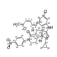 C=C(Cl)/C=C\C=C(/F)[C@H]1[C@@H]2C(=O)N(c3ccc([N+](=O)[O-])cc3)CC[C@@H]2N(CC2CC2)[C@@]12C(=O)Nc1cc(Cl)ccc12